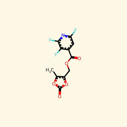 Cc1oc(=O)oc1COC(=O)c1cc(F)nc(F)c1F